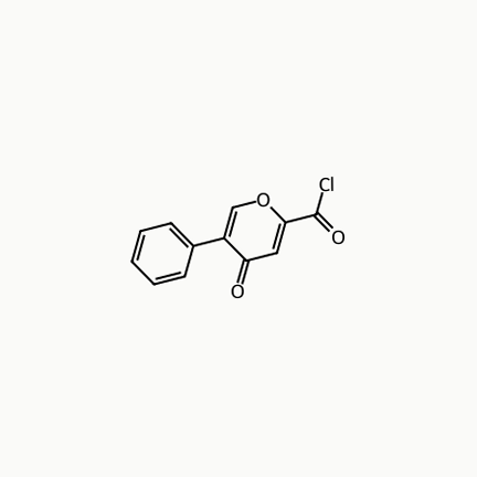 O=C(Cl)c1cc(=O)c(-c2ccccc2)co1